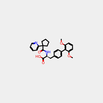 COc1cccc(OC)c1-c1ccc(C[C@H](NC(=O)C2(c3ccccn3)CCCC2)C(=O)O)cc1